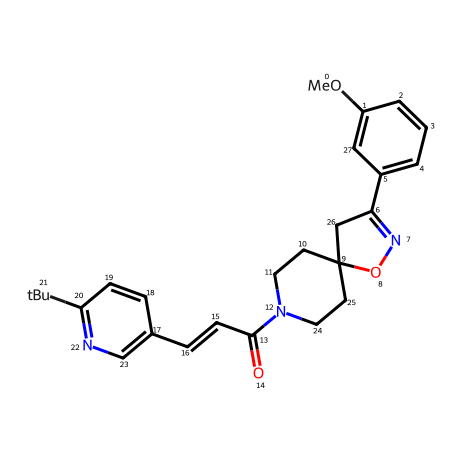 COc1cccc(C2=NOC3(CCN(C(=O)C=Cc4ccc(C(C)(C)C)nc4)CC3)C2)c1